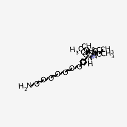 CC(C)(C)OC(=O)/N=C(/NCc1ccc(OCCOCCOCCOCCOCCOCCOCCN)cc1)NC(=O)OC(C)(C)C